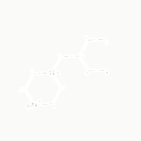 CCC(CC)CN1CCNCC1